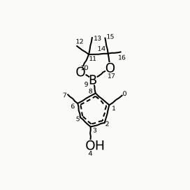 Cc1cc(O)cc(C)c1B1OC(C)(C)C(C)(C)O1